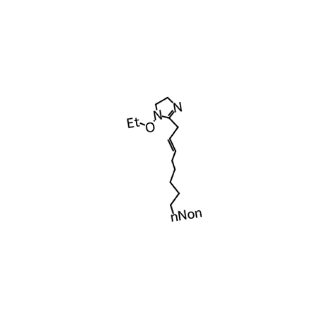 CCCCCCCCCCCCCCC=CCC1=NCCN1OCC